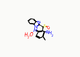 Cc1ccc(C)c(C(=S=O)c2nc3ccccc3[nH]2)c1N.O